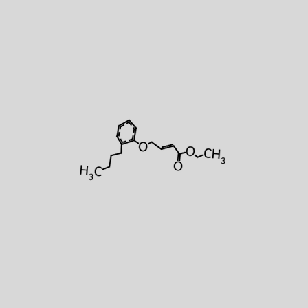 CCCCc1ccccc1OCC=CC(=O)OCC